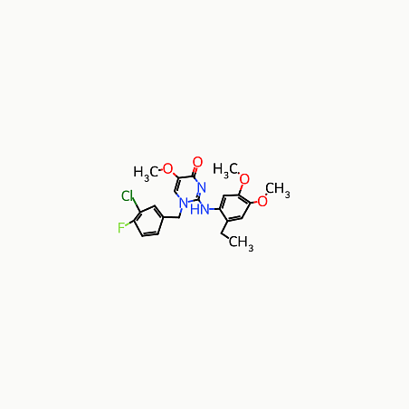 CCc1cc(OC)c(OC)cc1Nc1nc(=O)c(OC)cn1Cc1ccc(F)c(Cl)c1